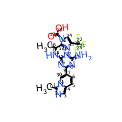 Cc1ncc2ccc(-c3nc(N)nc(NC(C)c4nc(C(F)(F)F)cn4C(=O)O)n3)cn12